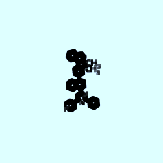 CC1(C)c2cc(-c3ccc(-c4cc(-c5ccncc5)nc(-c5ccccc5)n4)c4ccccc34)ccc2-c2c1ccc1ccccc21